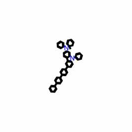 CC1(N(c2ccccc2)c2ccc3c4cc(-c5ccc(-c6ccc(-c7ccccc7)cc6)cc5)ccc4n(-c4ccccc4)c3c2)C=CC=CC1